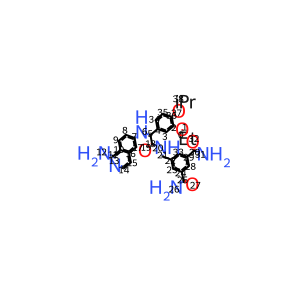 CCOc1cc(C(Nc2ccc3c(N)nccc3c2)C(=O)NCc2cc(C(N)=O)cc(C(N)=O)c2)ccc1OC(C)C